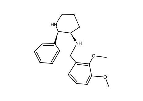 COc1cccc(CN[C@@H]2CCCN[C@@H]2c2ccccc2)c1OC